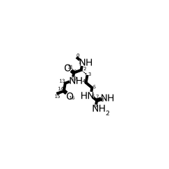 CN[C@H](CCCNC(=N)N)C(=O)NCC(C)=O